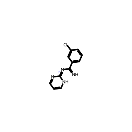 N=C(/N=c1/nccc[nH]1)c1cccc(Cl)c1